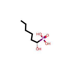 CCCCC[C@@H](O)P(=O)(O)O